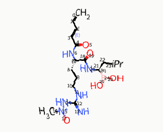 C=C/C=C/C(=O)N[C@@H](CCCNC(=N)N[N+](C)=O)C(=O)N[C@@H](CC(C)C)B(O)O